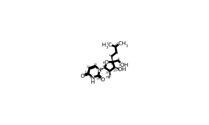 CC(C)CC[C@]1(CO)O[C@@H](n2ccc(=O)[nH]c2=O)[C@H](F)[C@@H]1O